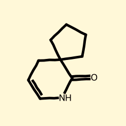 O=C1NC=CCC12CCCC2